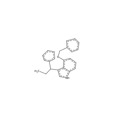 [CH2]CC(c1ccccc1)c1c[nH]c2cccc(OCc3ccccc3)c12